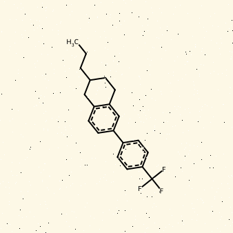 CCCC1CCc2cc(-c3ccc(C(F)(F)F)cc3)ccc2C1